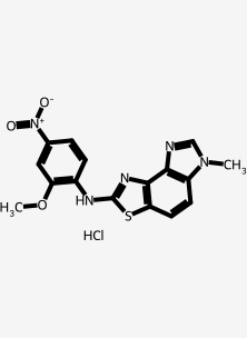 COc1cc([N+](=O)[O-])ccc1Nc1nc2c(ccc3c2ncn3C)s1.Cl